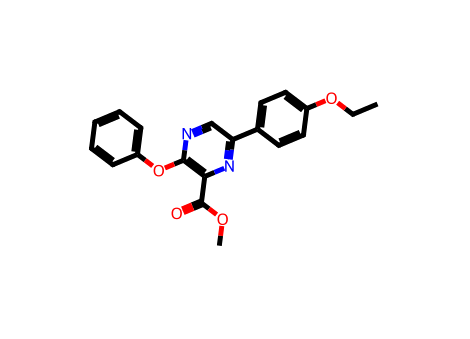 CCOc1ccc(-c2cnc(Oc3ccccc3)c(C(=O)OC)n2)cc1